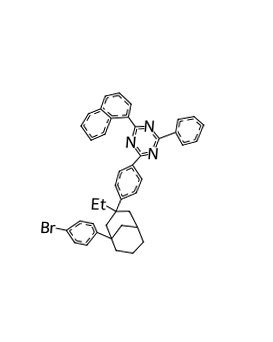 CCC1(c2ccc(-c3nc(-c4ccccc4)nc(-c4cccc5ccccc45)n3)cc2)CC2CCCC(c3ccc(Br)cc3)(C2)C1